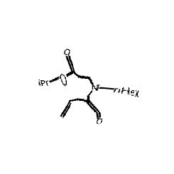 C=CC(=O)N(CCCCCC)CC(=O)OC(C)C